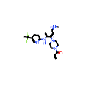 C=CC(=O)N1CCN(/C(=C/C=N\C)C(=C)Nc2ccc(C(C)(F)F)cn2)CC1